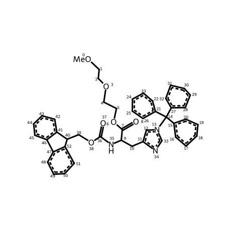 COCCOCCOC(=O)C(Cc1cn(C(c2ccccc2)(c2ccccc2)c2ccccc2)cn1)NC(=O)OCC1c2ccccc2-c2ccccc21